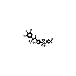 CN(C(=O)c1cc(S(=O)(=O)NC2(C)CC(F)(F)C2)c[nH]1)c1cc(F)c(F)c(Cl)c1